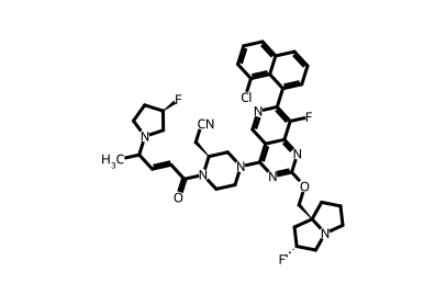 CC(/C=C/C(=O)N1CCN(c2nc(OC[C@@]34CCCN3C[C@H](F)C4)nc3c(F)c(-c4cccc5cccc(Cl)c45)ncc23)C[C@@H]1CC#N)N1CC[C@@H](F)C1